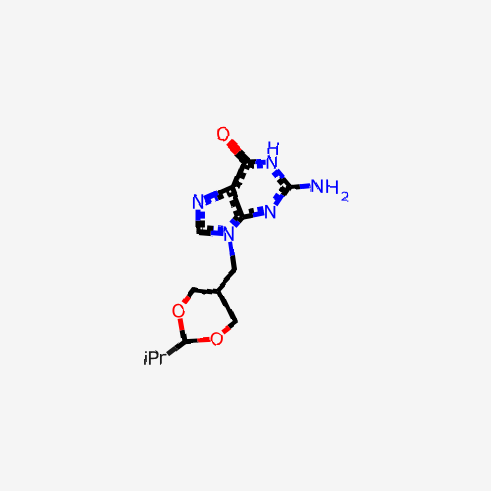 CC(C)C1OCC(Cn2cnc3c(=O)[nH]c(N)nc32)CO1